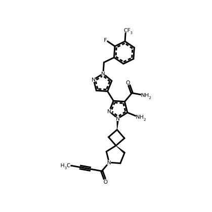 CC#CC(=O)N1CC[C@]2(C1)C[C@H](n1nc(-c3cnn(Cc4cccc(C(F)(F)F)c4F)c3)c(C(N)=O)c1N)C2